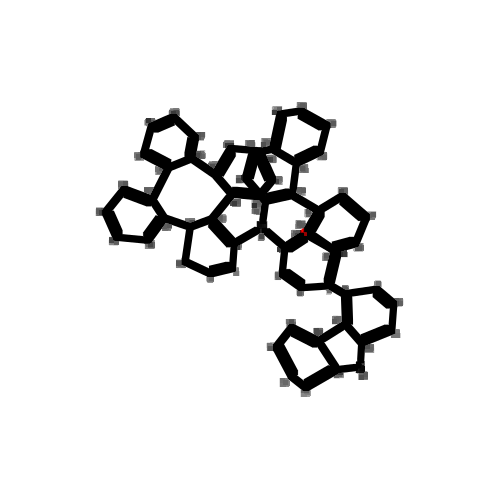 C1=CC(N(c2ccc(-c3cccc4sc5ccccc5c34)cc2)c2ccc3ccccc3c2-c2ccccc2)=C2c3ccccc3-c3ccccc3-c3ccccc3C2C1